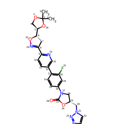 CC1(C)OC[C@H]([C@@H]2CC(c3ccc(-c4ccc(N5C[C@H](Cn6ccnn6)OC5=O)cc4F)cn3)=NO2)O1